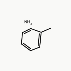 Cc1cc[c]cc1.N